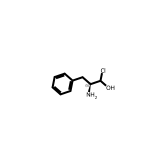 N[C@@H](Cc1ccccc1)C(O)Cl